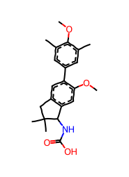 COc1cc2c(cc1-c1cc(C)c(OC)c(C)c1)CC(C)(C)C2NC(=O)O